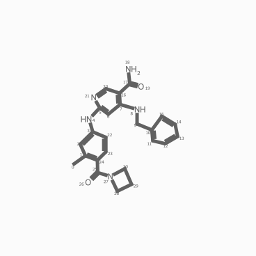 Cc1cc(Nc2cc(NCc3ccccc3)c(C(N)=O)cn2)ccc1C(=O)N1CCC1